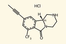 CC#Cc1cc2c(c(C(F)(F)F)c1)C(=O)N1CCNC[C@@H]21.Cl